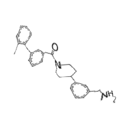 Cc1ccccc1-c1cccc(C(=O)N2CCC(c3cccc(CN)c3)CC2)c1